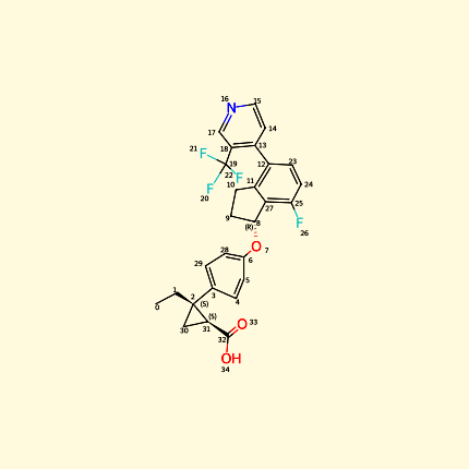 CC[C@]1(c2ccc(O[C@@H]3CCc4c(-c5ccncc5C(F)(F)F)ccc(F)c43)cc2)C[C@@H]1C(=O)O